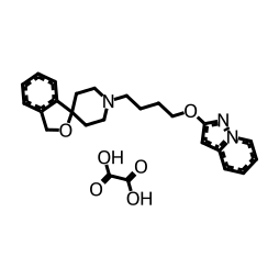 O=C(O)C(=O)O.c1ccc2c(c1)COC21CCN(CCCCOc2cc3ccccn3n2)CC1